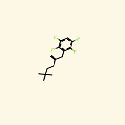 C=C(CCC(C)(C)C)Cc1c(F)c(F)cc(F)c1F